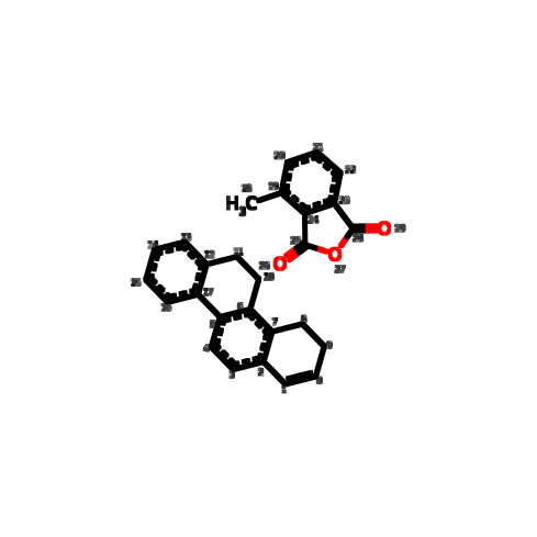 C1=Cc2ccc3c(c2CC1)CCc1ccccc1-3.Cc1cccc2c1C(=O)OC2=O